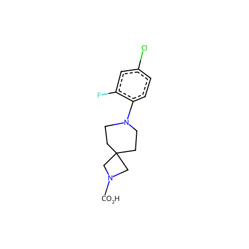 O=C(O)N1CC2(CCN(c3ccc(Cl)cc3F)CC2)C1